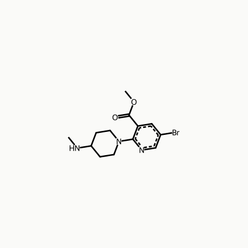 CNC1CCN(c2ncc(Br)cc2C(=O)OC)CC1